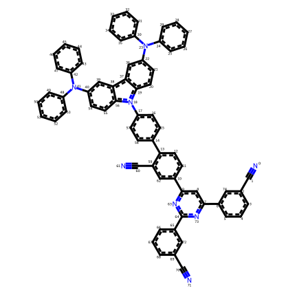 N#Cc1cccc(-c2cc(-c3ccc(-c4ccc(-n5c6ccc(N(c7ccccc7)c7ccccc7)cc6c6cc(N(c7ccccc7)c7ccccc7)ccc65)cc4)c(C#N)c3)nc(-c3cccc(C#N)c3)n2)c1